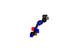 CN1CCc2c(sc3ncn(CCCN4CCN(c5cccc(C(F)(F)F)c5)CC4)c(=O)c23)C1